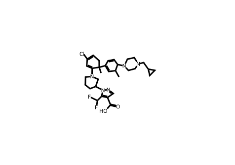 CC1C=C(C2(C)CC=C(Cl)C=C2N2CCCC(n3ncc(C(=O)O)c3C(F)F)C2)C=CC1N1CCN(CC2CC2)CC1